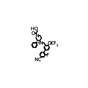 N#Cc1ccc(-c2ccc(OC(F)(F)F)c(CN[C@H]3CCN(C(=O)CO)C[C@H]3c3ccccc3)c2)c(F)c1